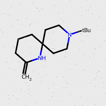 C=C1CCCC2(CCN(C(C)(C)C)CC2)N1